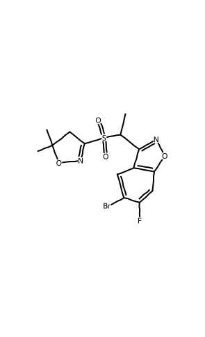 CC(c1noc2cc(F)c(Br)cc12)S(=O)(=O)C1=NOC(C)(C)C1